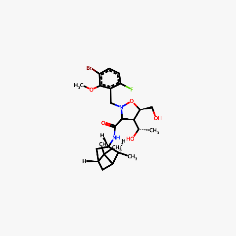 COc1c(Br)ccc(F)c1CN1O[C@@H](CO)[C@@H]([C@H](C)O)C1C(=O)N[C@H]1C[C@H]2CC([C@@H]1C)C2(C)C